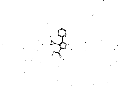 COC(=O)c1snc(-c2ccccc2)c1C1CC1